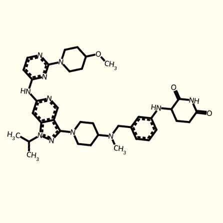 COC1CCN(c2nccc(Nc3cc4c(cn3)c(N3CCC(N(C)Cc5cccc(NC6CCC(=O)NC6=O)c5)CC3)nn4C(C)C)n2)CC1